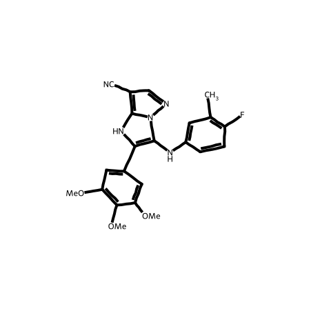 COc1cc(-c2[nH]c3c(C#N)cnn3c2Nc2ccc(F)c(C)c2)cc(OC)c1OC